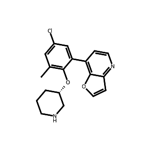 Cc1cc(Cl)cc(-c2ccnc3ccoc23)c1O[C@H]1CCCNC1